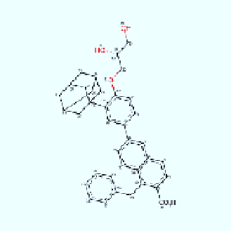 O=C(O)c1ccc2cc(-c3ccc(OC[C@H](O)CO)c(C45CC6CC(CC(C6)C4)C5)c3)ccc2c1Cc1ccccc1